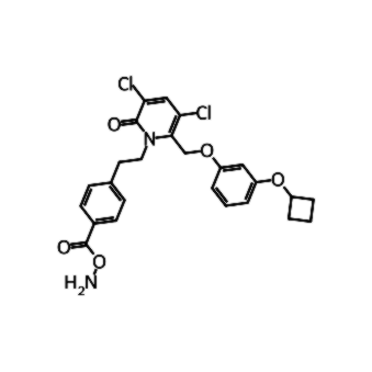 NOC(=O)c1ccc(CCn2c(COc3cccc(OC4CCC4)c3)c(Cl)cc(Cl)c2=O)cc1